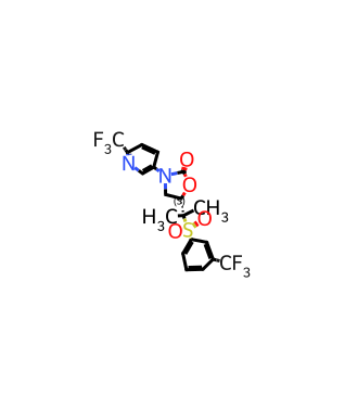 CC(C)([C@@H]1CN(c2ccc(C(F)(F)F)nc2)C(=O)O1)S(=O)(=O)c1cccc(C(F)(F)F)c1